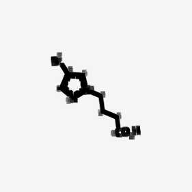 O=C(O)CCCn1cc(Br)cn1